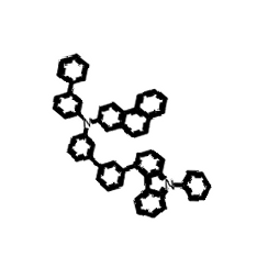 c1ccc(-c2cccc(N(c3cccc(-c4cccc(-c5cccc6c5c5ccccc5n6-c5ccccc5)c4)c3)c3ccc4c(ccc5ccccc54)c3)c2)cc1